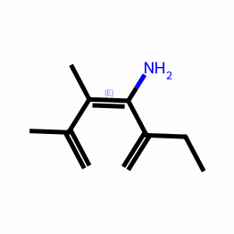 C=C(C)/C(C)=C(/N)C(=C)CC